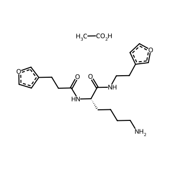 CC(=O)O.NCCCC[C@H](NC(=O)CCc1ccoc1)C(=O)NCCc1ccoc1